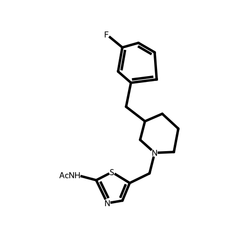 CC(=O)Nc1ncc(CN2CCCC(Cc3cccc(F)c3)C2)s1